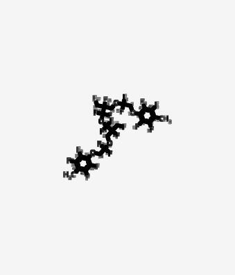 Cc1c(F)c(F)c(OCC(F)(F)OCC(F)(CF)C(F)(F)OC(F)(F)C(F)(CF)COC(F)(F)COc2c(F)c(F)c(C)c(F)c2F)c(F)c1F